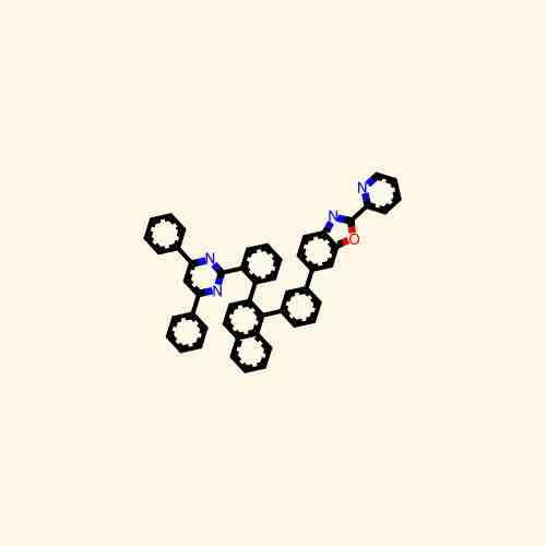 c1ccc(-c2cc(-c3ccccc3)nc(-c3ccccc3-c3ccc4ccccc4c3-c3cccc(-c4ccc5nc(-c6ccccn6)oc5c4)c3)n2)cc1